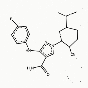 CN(C)C1CCC(C#N)C(n2cc(C(N)=O)c(Nc3ccc(F)cc3)n2)C1